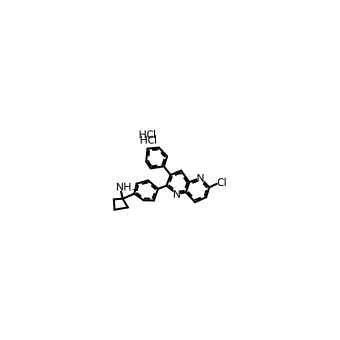 Cl.Cl.NC1(c2ccc(-c3nc4ccc(Cl)nc4cc3-c3ccccc3)cc2)CCC1